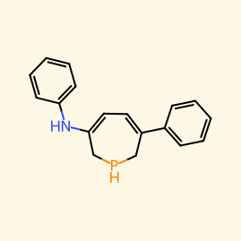 C1=C(Nc2ccccc2)CPCC(c2ccccc2)=C1